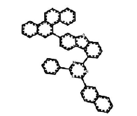 c1ccc(-c2nc(-c3ccc4ccccc4c3)nc(-c3cccc4oc5cc(-c6cc7ccccc7c7ccc8ccccc8c67)ccc5c34)n2)cc1